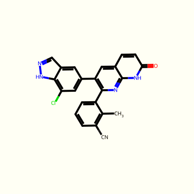 Cc1c(C#N)cccc1-c1nc2[nH]c(=O)ccc2cc1-c1cc(Cl)c2[nH]ncc2c1